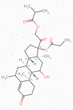 CCC(=O)O[C@]1(C(=O)COC(=O)C(C)C)CC[C@H]2[C@@H]3CC(C)C4=CC(=O)CC[C@]4(C)[C@H]3C(O)C[C@@]21C